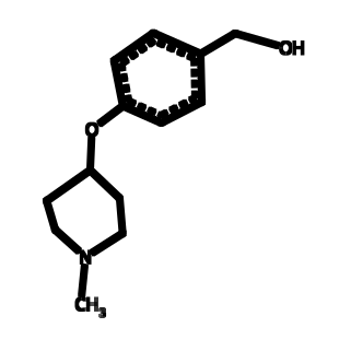 CN1CCC(Oc2ccc(CO)cc2)CC1